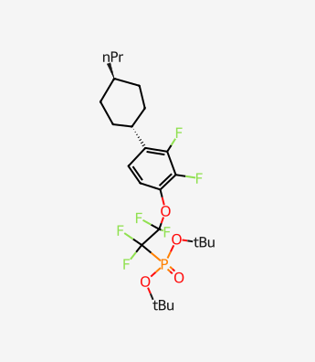 CCC[C@H]1CC[C@H](c2ccc(OC(F)(F)C(F)(F)P(=O)(OC(C)(C)C)OC(C)(C)C)c(F)c2F)CC1